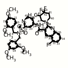 COc1ccc(CN(Cc2ccc(OC)cc2OC)S(=O)(=O)c2cc(NC(=O)c3cc4c(F)cccc4nc3N3CCC(F)(F)C(C)C3)ccn2)c(OC)c1